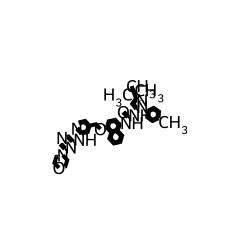 Cc1ccc(-n2nc(C(C)(C)C)cc2NC(=O)Nc2ccc(OCc3ccnc(Nc4cncc(N5CCOCC5)n4)c3)c3ccccc23)cc1